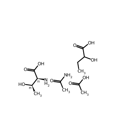 CC(=O)O.CC(N)=O.CCC(O)C(=O)O.C[C@@H](O)[C@H](N)C(=O)O